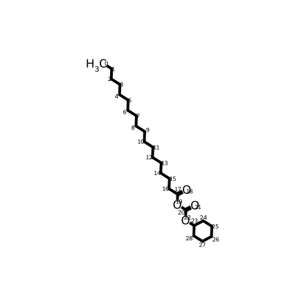 CCCCCCCCCCCCCCCCCC(=O)OC(=O)OC1CCCCC1